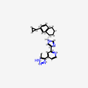 Cc1[nH]nnc1-c1ccnc(-c2cn(C[C@H]3CCCc4ccc(C5CC5)cc43)cn2)c1